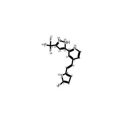 Fc1ccc(/C=C/c2ccnc(-c3cc(C(F)(F)F)n[nH]3)c2)s1